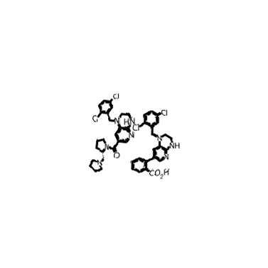 O=C(O)c1ccccc1-c1cnc2c(c1)N(Cc1cc(Cl)ccc1Cl)CCN2.O=C(c1cnc2c(c1)N(Cc1cc(Cl)ccc1Cl)CCN2)N1CCC[C@H]1CN1CCCC1